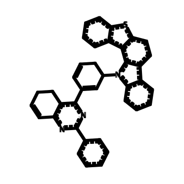 C1=Cc2nc(-c3ccccc3)nc(C3=CC(n4c5ccccc5c5ccc6sc7ccccc7c6c54)CC=C3)c2CC1